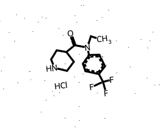 CCN(C(=O)C1CCNCC1)c1ccc(C(F)(F)F)cc1.Cl